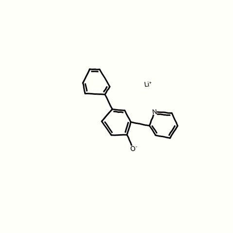 [Li+].[O-]c1ccc(-c2ccccc2)cc1-c1ccccn1